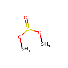 O=S(O[SiH3])O[SiH3]